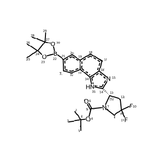 CC(C)(C)OC(=O)N1CC(F)(F)C[C@H]1c1nc2ccc3cc(B4OC(C)(C)C(C)(C)O4)ccc3c2[nH]1